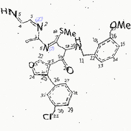 C=C(/N=C\C=N)/N=C(\SC)C(NCc1cccc(OC)c1)C(=O)c1cocc1-c1cccc(Cl)c1